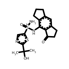 CC(C)(O)c1ncc([SH](N)(=O)Nc2c3c(cc4c2C(=O)CC4)CCC3)s1